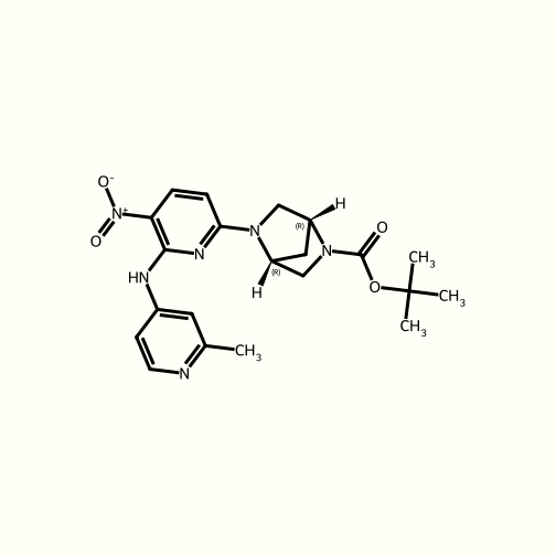 Cc1cc(Nc2nc(N3C[C@H]4C[C@@H]3CN4C(=O)OC(C)(C)C)ccc2[N+](=O)[O-])ccn1